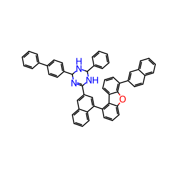 c1ccc(-c2ccc(C3N=C(c4cc(-c5cccc6oc7c(-c8ccc9ccccc9c8)cccc7c56)c5ccccc5c4)NC(c4ccccc4)N3)cc2)cc1